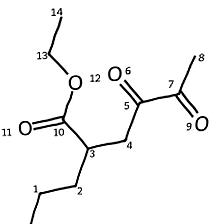 CCCC(CC(=O)C(C)=O)C(=O)OCC